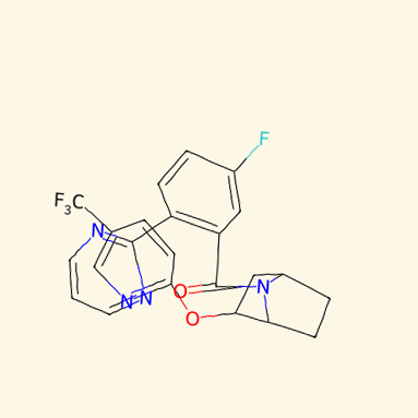 O=C(c1cc(F)ccc1-c1ncccn1)N1C2CCC1C(Oc1ccc(C(F)(F)F)cn1)C2